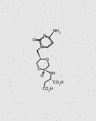 Nc1ccn(C[C@@H]2COP(=O)(N[C@@H](CC(=O)O)C(=O)O)CO2)c(=O)n1